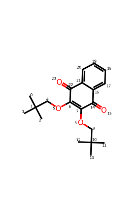 CC(C)(C)COC1=C(OCC(C)(C)C)C(=O)c2ccccc2C1=O